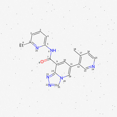 CCc1cccc(NC(=O)c2cc(-c3cnccc3C)cn3cnnc23)n1